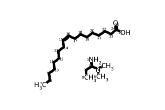 CCC(N)N(C)C.CCCCCCCC/C=C\CCCCCCCC(=O)O